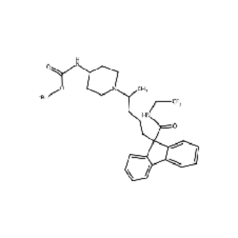 CC(CCCC1(C(=O)NCC(F)(F)F)c2ccccc2-c2ccccc21)N1CCC(NC(=O)OC(C)(C)C)CC1